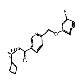 C[C@@H](NC(=O)c1ccc(COc2cccc(F)c2)nc1)C1CCC1